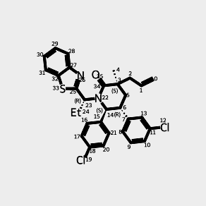 C=CC[C@@]1(C)C[C@H](c2cccc(Cl)c2)[C@@H](c2ccc(Cl)cc2)N([C@H](CC)c2nc3ccccc3s2)C1=O